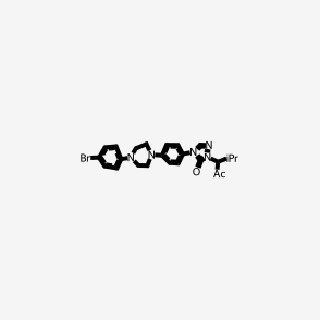 CC(=O)C(C(C)C)n1ncn(-c2ccc(N3CCN(c4ccc(Br)cc4)CC3)cc2)c1=O